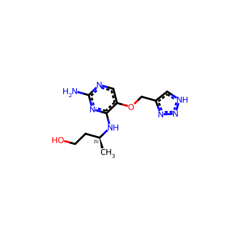 C[C@@H](CCO)Nc1nc(N)ncc1OCc1c[nH]nn1